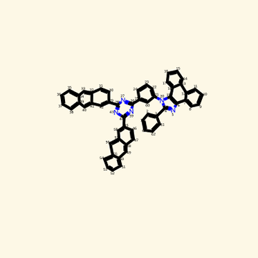 c1ccc(-c2nc3c4ccccc4c4ccccc4c3n2-c2cccc(-c3nc(-c4ccc5cc6ccccc6cc5c4)nc(-c4ccc5cc6ccccc6cc5c4)n3)c2)cc1